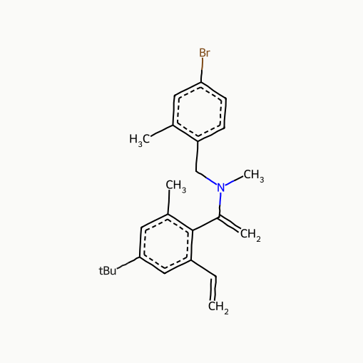 C=Cc1cc(C(C)(C)C)cc(C)c1C(=C)N(C)Cc1ccc(Br)cc1C